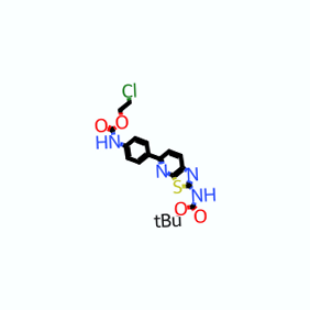 CC(C)(C)OC(=O)Nc1nc2ccc(-c3ccc(NC(=O)OCCCl)cc3)nc2s1